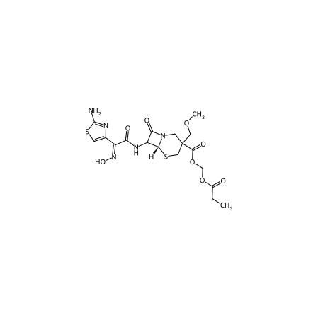 CCC(=O)OCOC(=O)C1(COC)CS[C@@H]2C(NC(=O)C(=NO)c3csc(N)n3)C(=O)N2C1